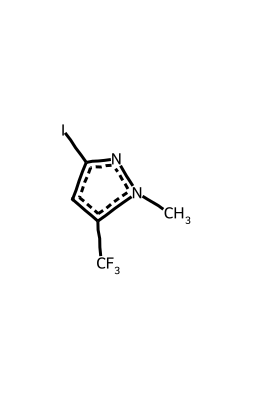 Cn1nc(I)cc1C(F)(F)F